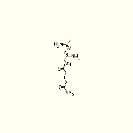 C/C(N)=N/N=C(\N)CNC(=O)CCCC(N)=O